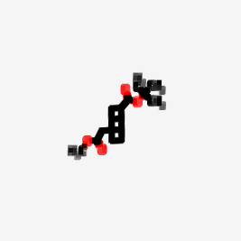 COC(=O)CC12C3C4C1C1C2C3C41C(=O)OC(C)(C)C